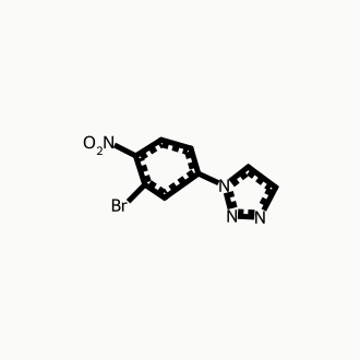 O=[N+]([O-])c1ccc(-n2ccnn2)cc1Br